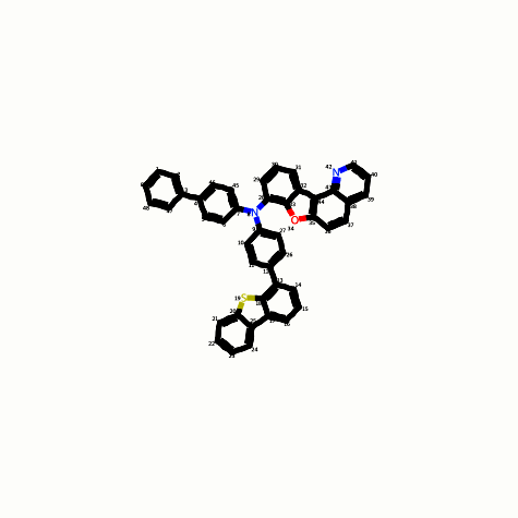 c1ccc(-c2ccc(N(c3ccc(-c4cccc5c4sc4ccccc45)cc3)c3cccc4c3oc3ccc5cccnc5c34)cc2)cc1